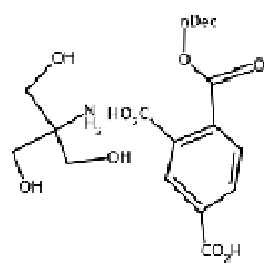 CCCCCCCCCCOC(=O)c1ccc(C(=O)O)cc1C(=O)O.NC(CO)(CO)CO